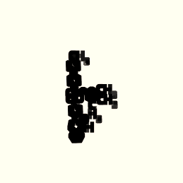 Cc1cc(CC(OC(=O)N2CCC(N3CCc4ccccc4NC3=O)CC2)C(=O)N2CCC(N3CCN(C)CC3)CC2)cc(C)c1C